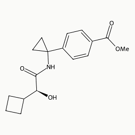 COC(=O)c1ccc(C2(NC(=O)[C@@H](O)C3CCC3)CC2)cc1